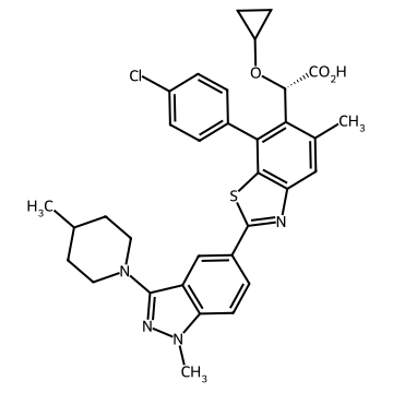 Cc1cc2nc(-c3ccc4c(c3)c(N3CCC(C)CC3)nn4C)sc2c(-c2ccc(Cl)cc2)c1[C@H](OC1CC1)C(=O)O